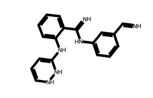 N=Cc1cccc(NC(=N)c2ccccc2NC2=CC=CNN2)c1